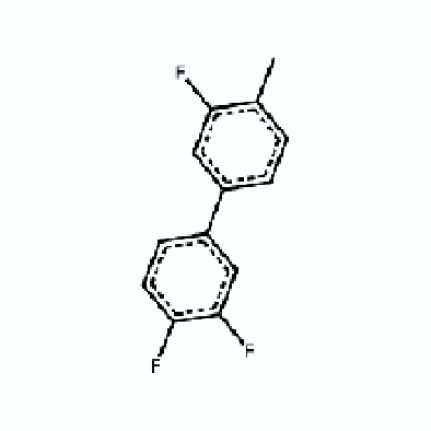 Cc1ccc(-c2ccc(F)c(F)c2)cc1F